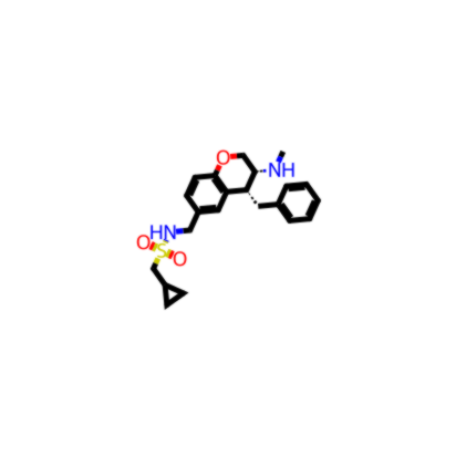 CN[C@H]1COc2ccc(CNS(=O)(=O)CC3CC3)cc2[C@H]1Cc1ccccc1